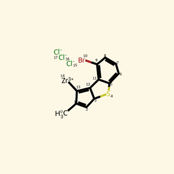 CC1=CC2Sc3cccc(Br)c3C2=[C]1[Zr+3].[Cl-].[Cl-].[Cl-]